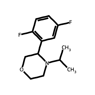 CC(C)N1CCOCC1c1cc(F)ccc1F